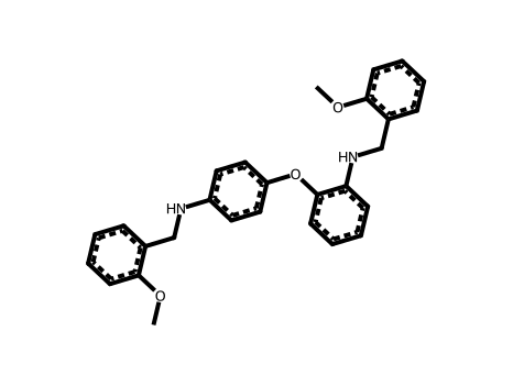 COc1ccccc1CNc1ccc(Oc2ccccc2NCc2ccccc2OC)cc1